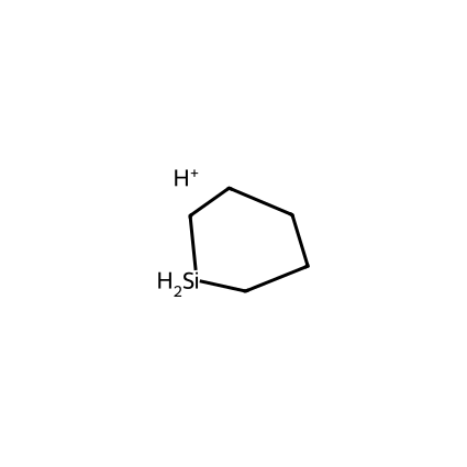 C1CC[SiH2]CC1.[H+]